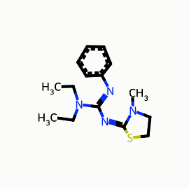 CCN(CC)C(/N=C1/SCCN1C)=N\c1ccccc1